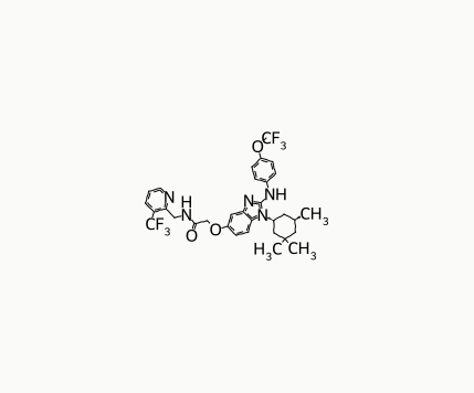 C[C@@H]1C[C@H](n2c(Nc3ccc(OC(F)(F)F)cc3)nc3cc(OCC(=O)NCc4ncccc4C(F)(F)F)ccc32)CC(C)(C)C1